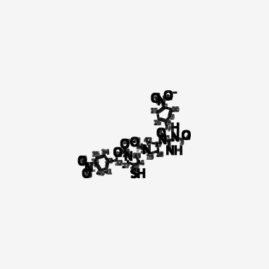 N=C(NC=O)N(OCc1ccc([N+](=O)[O-])cc1)[C@@H]1CCN(C(=O)[C@@H]2C[C@H](S)CN2C(=O)OCc2ccc([N+](=O)[O-])cc2)C1